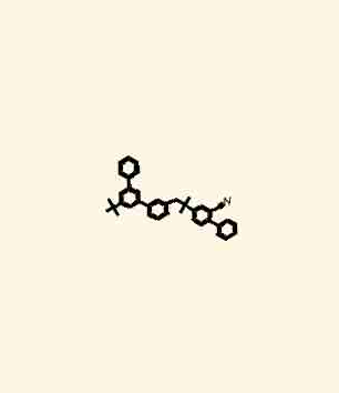 CC(C)(C)c1cc(-c2ccccc2)cc(-c2cccc(CC(C)(C)c3ccc(-c4ccccc4)c(C#N)c3)c2)c1